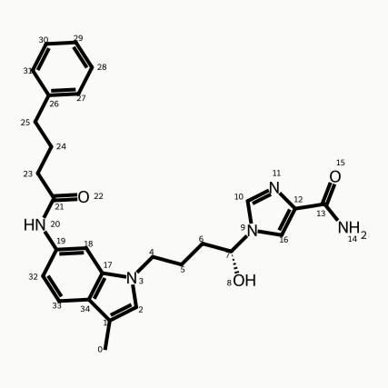 Cc1cn(CCC[C@@H](O)n2cnc(C(N)=O)c2)c2cc(NC(=O)CCCc3ccccc3)ccc12